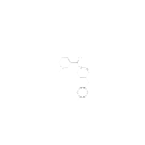 CN1CCC=C(C(=O)N2CCC(Cc3ccc(F)cc3)CC2)C1.Cl